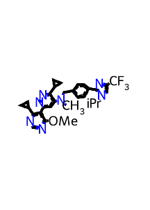 COc1ncnc(C2CC2)c1-c1cc(N(C)Cc2ccc(-c3nc(C(F)(F)F)cn3C(C)C)cc2)c(C2CC2)nn1